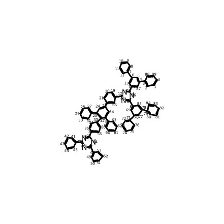 c1ccc(-c2cc(-c3ccccc3)cc(-c3nc(-c4cccc(-c5cc(-c6ccccc6)c(-c6ccc(-c7nc(-c8ccccc8)nc(-c8ccccc8)n7)cc6)c(-c6ccccc6)c5)c4)nc(-c4cc(-c5ccccc5)cc(-c5ccccc5)c4)n3)c2)cc1